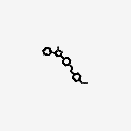 COc1ccc(CCN2CCC(c3cc(-c4cccnc4)[nH]n3)CC2)cc1